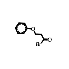 O=C(Br)CCOc1ccccc1